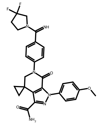 COc1ccc(-n2nc(C(N)=O)c3c2C(=O)N(c2ccc(C(=N)N4CCC(F)(F)C4)cc2)CC32CC2)cc1